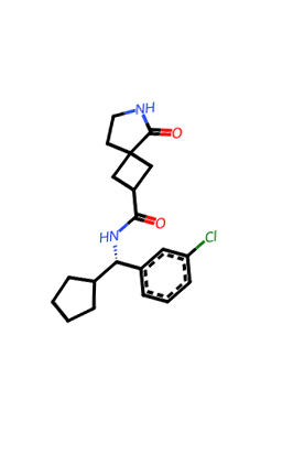 O=C(N[C@H](c1cccc(Cl)c1)C1CCCC1)C1CC2(CCNC2=O)C1